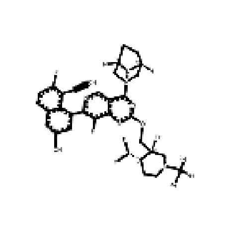 [2H]C([2H])([2H])N1CC[C@H](C(F)F)[C@](CC)(COc2nc(N3C[C@H]4CC[C@@H](C3)N4)c3cnc(-c4cc(O)cc5ccc(F)c(C#C)c45)c(F)c3n2)C1